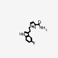 NC(=O)c1[c]cn(CCc2c[nH]c3ccc(F)cc23)n1